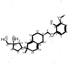 COc1cccc(OC[C@@H]2CCC3=CC(C)([C@H]4CC[C@](N)(CO)C4)CC=C3C2)c1F